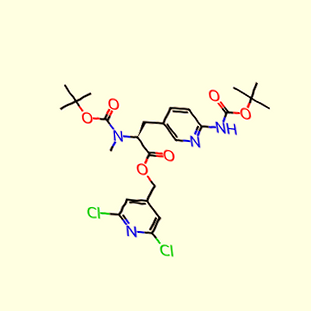 CN(C(=O)OC(C)(C)C)[C@@H](Cc1ccc(NC(=O)OC(C)(C)C)nc1)C(=O)OCc1cc(Cl)nc(Cl)c1